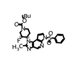 Cc1nc2cnc3c(ccn3S(=O)(=O)c3ccccc3)c2n1[C@H]1CCN(C(=O)OC(C)(C)C)C[C@@H]1F